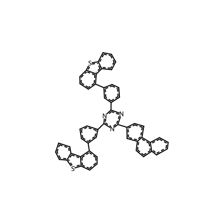 c1cc(-c2nc(-c3cccc(-c4cccc5sc6ccccc6c45)c3)nc(-c3ccc4c(ccc5ccccc54)c3)n2)cc(-c2cccc3sc4ccccc4c23)c1